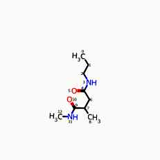 CCCNC(=O)C[C](C)C(=O)NC